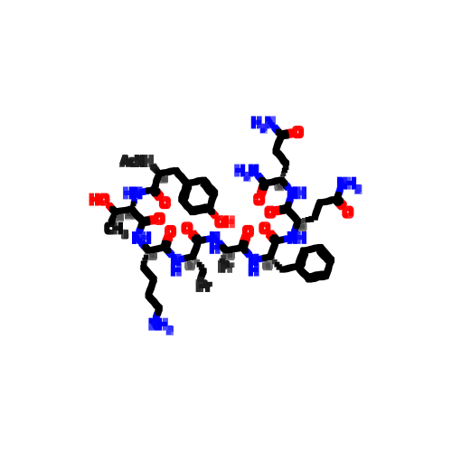 CC(=O)N[C@@H](Cc1ccc(O)cc1)C(=O)N[C@H](C(=O)N[C@@H](CCCCN)C(=O)N[C@@H](CC(C)C)C(=O)N[C@H](C(=O)N[C@@H](Cc1ccccc1)C(=O)N[C@@H](CCC(N)=O)C(=O)N[C@@H](CCC(N)=O)C(N)=O)C(C)C)[C@@H](C)O